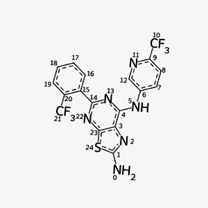 Nc1nc2c(Nc3ccc(C(F)(F)F)nc3)nc(-c3ccccc3C(F)(F)F)nc2s1